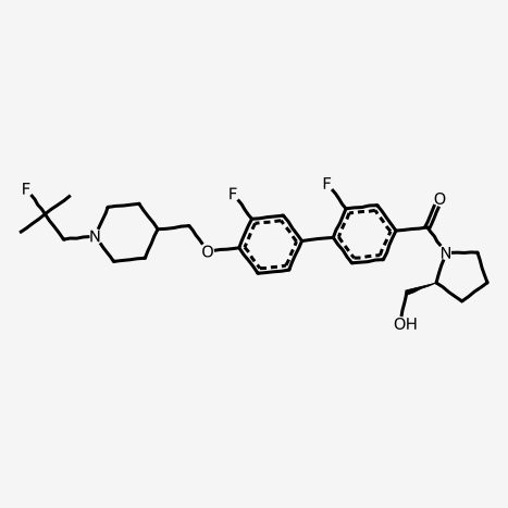 CC(C)(F)CN1CCC(COc2ccc(-c3ccc(C(=O)N4CCC[C@H]4CO)cc3F)cc2F)CC1